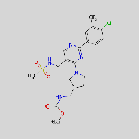 CC(C)(C)OC(=O)NCC1CCN(c2nc(-c3ccc(Cl)c(C(F)(F)F)c3)ncc2CNS(C)(=O)=O)C1